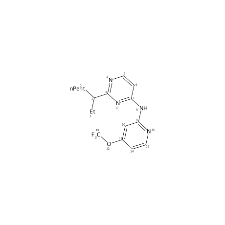 CCCCCC(CC)c1nccc(Nc2cc(OC(F)(F)F)ccn2)n1